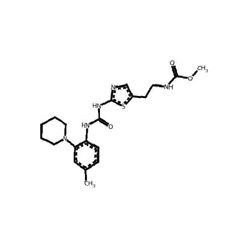 COC(=O)NCCc1cnc(NC(=O)Nc2ccc(C)cc2N2CCCCC2)s1